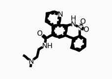 CN(C)CCNC(=O)c1cc2c(c3ncccc13)NS(=O)(=O)c1ccccc1-2